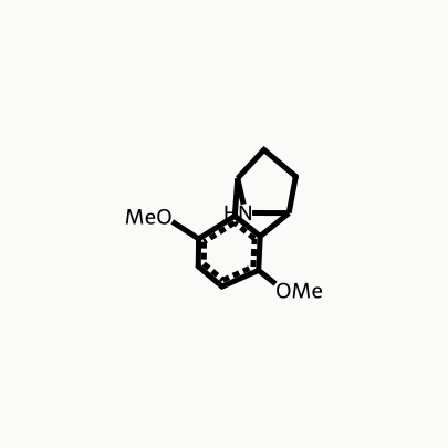 COc1ccc(OC)c2c1C1CCC2N1